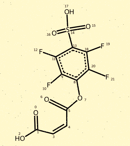 O=C(O)/C=C\C(=O)Oc1c(F)c(F)c(S(=O)(=O)O)c(F)c1F